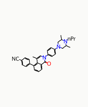 CCCN1C(C)CN(c2ccc(-n3cc(C)c4c(-c5ccc(C#N)cc5)cccc4c3=O)cc2)CC1C